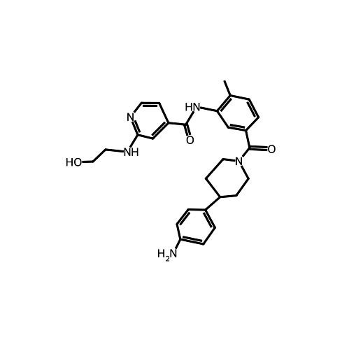 Cc1ccc(C(=O)N2CCC(c3ccc(N)cc3)CC2)cc1NC(=O)c1ccnc(NCCO)c1